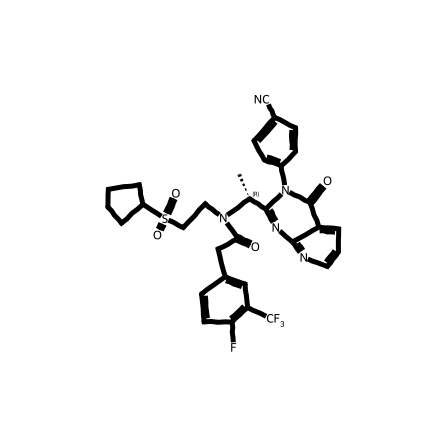 C[C@H](c1nc2ncccc2c(=O)n1-c1ccc(C#N)cc1)N(CCS(=O)(=O)C1CCCC1)C(=O)Cc1ccc(F)c(C(F)(F)F)c1